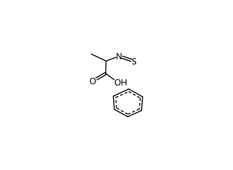 CC(N=S)C(=O)O.c1ccccc1